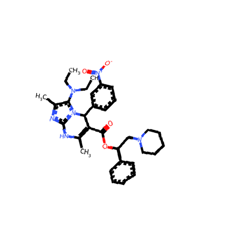 CCN(CC)c1c(C)nc2n1C(c1cccc([N+](=O)[O-])c1)C(C(=O)OC(CN1CCCCC1)c1ccccc1)=C(C)N2